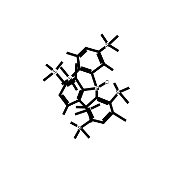 Cc1cc([Si](C)(C)C)c(C)c([Si](Cl)(c2c(C)c([Si](C)(C)C)cc(C)c2[Si](C)(C)C)c2c(C)c([Si](C)(C)C)cc(C)c2[Si](C)(C)C)c1[Si](C)(C)C